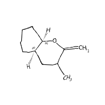 C=C1O[C@@H]2CCCC[C@@H]2CC1C